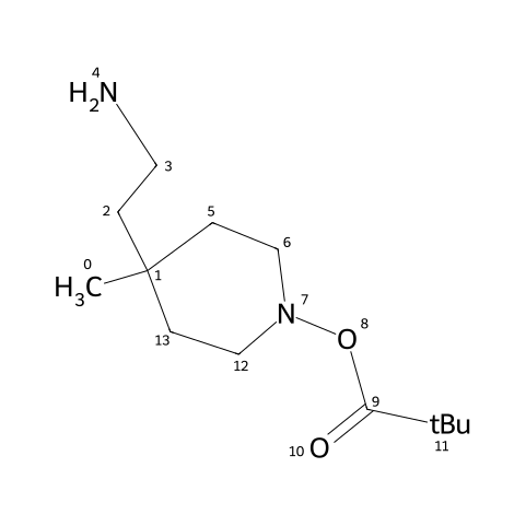 CC1(CCN)CCN(OC(=O)C(C)(C)C)CC1